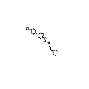 CCN(CC)CCCNC(=O)Oc1ccc(-c2ccc(Cl)cc2)cn1